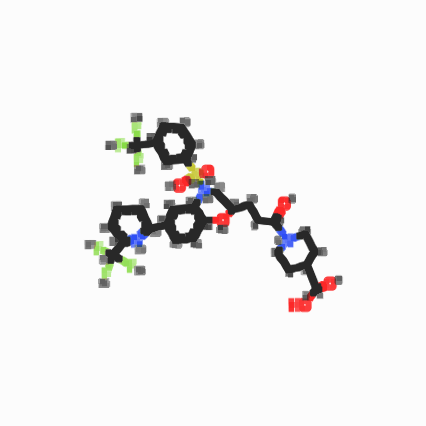 O=C(O)C1CCN(C(=O)CCC2CN(S(=O)(=O)c3cccc(C(F)(F)F)c3)c3cc(-c4cccc(C(F)(F)F)n4)ccc3O2)CC1